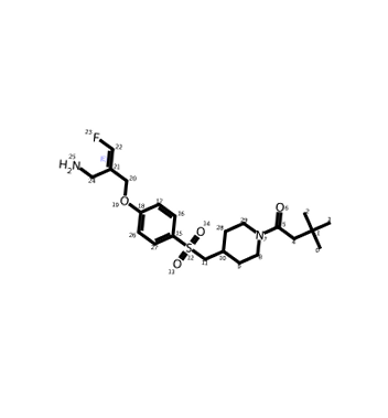 CC(C)(C)CC(=O)N1CCC(CS(=O)(=O)c2ccc(OC/C(=C/F)CN)cc2)CC1